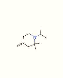 C=C1CCN(C(C)C)C(C)(C)C1